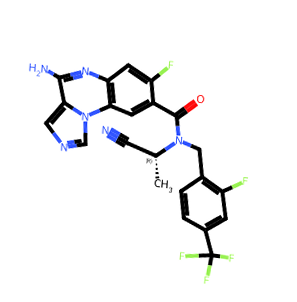 C[C@H](C#N)N(Cc1ccc(C(F)(F)F)cc1F)C(=O)c1cc2c(cc1F)nc(N)c1cncn12